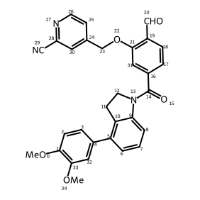 COc1ccc(-c2cccc3c2CCN3C(=O)c2ccc(C=O)c(OCc3ccnc(C#N)c3)c2)cc1OC